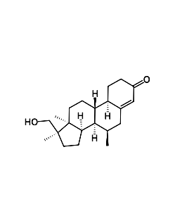 C[C@@H]1CC2=CC(=O)CC[C@@H]2[C@H]2CC[C@@]3(C)[C@H](CC[C@@]3(C)CO)[C@@H]21